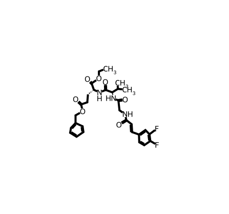 CCOC(=O)[C@@H](CCC(=O)OCc1ccccc1)NC(=O)[C@@H](NC(=O)CNC(=O)/C=C/c1ccc(F)c(F)c1)C(C)C